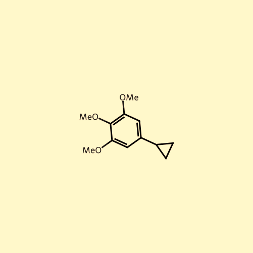 COc1cc(C2CC2)cc(OC)c1OC